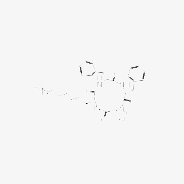 O=C1N[C@@H](CCCCCCNO)C(=O)N[C@@H](Cc2ccccc2)C(=O)N[C@@H](Cc2ccccc2)C(=O)N2CCCC12